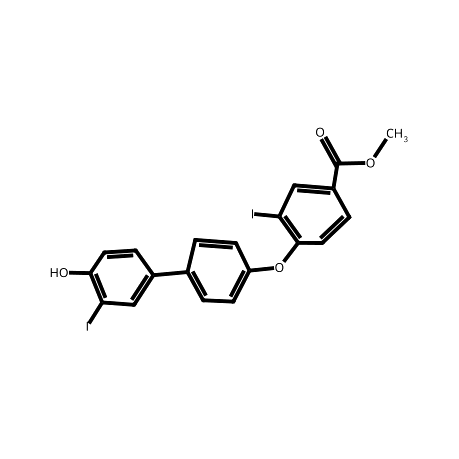 COC(=O)c1ccc(Oc2ccc(-c3ccc(O)c(I)c3)cc2)c(I)c1